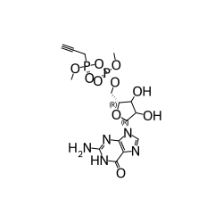 C#CCP(=O)(OC)OP(=O)(OC)OC[C@H]1O[C@@H](n2cnc3c(=O)[nH]c(N)nc32)C(O)C1O